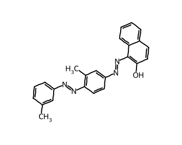 Cc1cccc(N=Nc2ccc(N=Nc3c(O)ccc4ccccc34)cc2C)c1